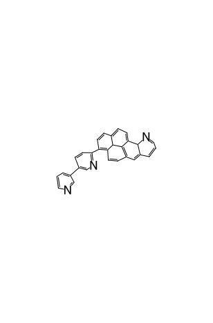 C1=CC2=CC3=C4C(=CC=C5C=CC(c6ccc(-c7cccnc7)cn6)=C(C=C3)C54)C2N=C1